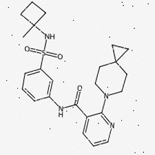 CC1(NS(=O)(=O)c2cccc(NC(=O)c3cccnc3N3CCC4(CC3)CC4)c2)CCC1